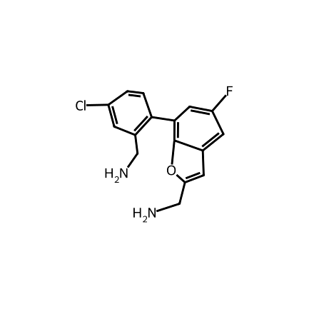 NCc1cc2cc(F)cc(-c3ccc(Cl)cc3CN)c2o1